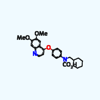 COc1cc2nccc(Oc3ccc(N(CC4CCCCC4)C(=O)O)cc3)c2cc1OC